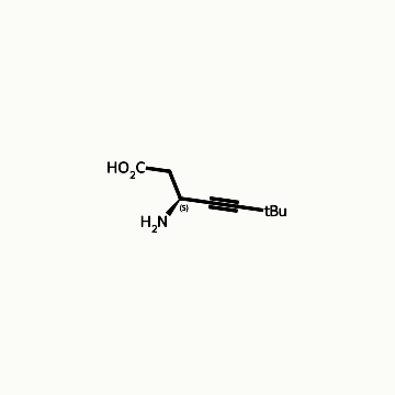 CC(C)(C)C#C[C@@H](N)CC(=O)O